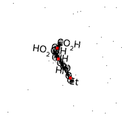 CCOCCOCCNC(=O)COCCOCCNC(=O)CCC(NC(=O)CCCC(=O)O)C(=O)O